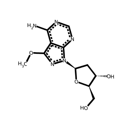 COc1nn([C@H]2C[C@H](O)[C@@H](CO)O2)c2ncnc(N)c12